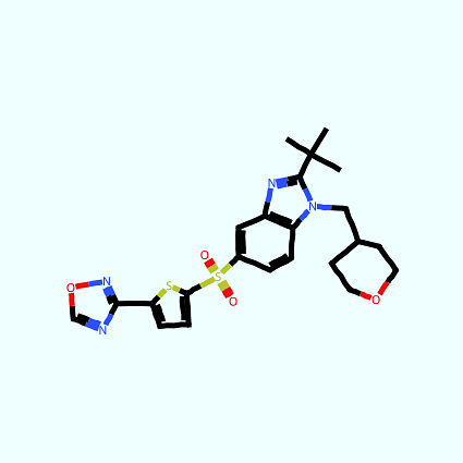 CC(C)(C)c1nc2cc(S(=O)(=O)c3ccc(-c4ncon4)s3)ccc2n1CC1CCOCC1